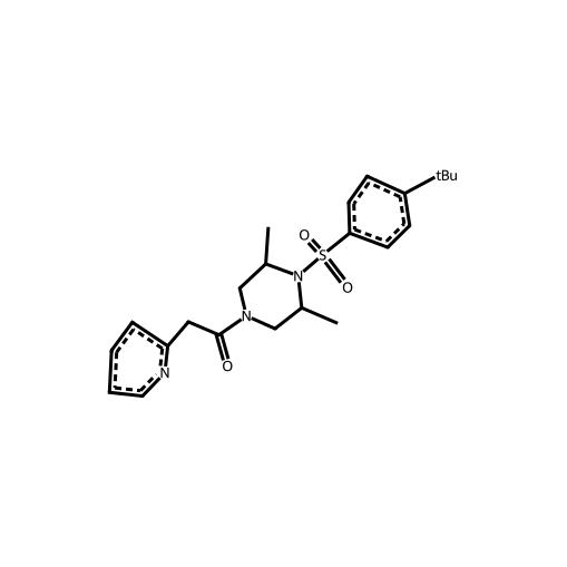 CC1CN(C(=O)Cc2ccccn2)CC(C)N1S(=O)(=O)c1ccc(C(C)(C)C)cc1